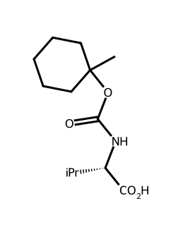 CC(C)[C@H](NC(=O)OC1(C)CCCCC1)C(=O)O